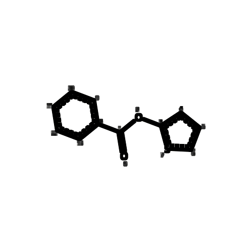 O=C(Oc1cc[c]s1)c1ccccc1